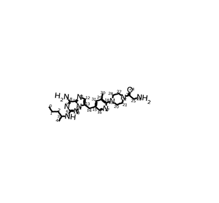 CCCC(C)Nc1nc(N)c2ncc(Cc3cnc(N4CCN(C(=O)CN)CC4)c(C)c3)n2n1